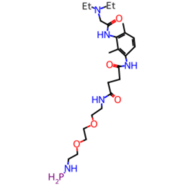 CCN(CC)CC(=O)Nc1c(C)ccc(NC(=O)CCC(=O)NCCOCCOCCNP)c1C